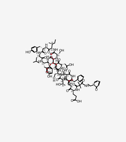 CC[C@H](C)[C@H](NC(=O)[C@H](CO)NC(=O)[C@H](Cc1ccc(O)cc1)NC(=O)[C@H](CC(=O)O)NC(=O)[C@H](CO)NC(=O)[C@@H](NC(=O)[C@H](Cc1ccccc1)NC(=O)[C@@H](NC(=O)CNC(=O)[C@H](CCC(=O)O)NC(=O)C(C)(C)C(=O)NCCn1ccccc1=O)[C@@H](C)O)[C@@H](C)O)C(=O)N[C@@H](Cc1ccc(O)cc1)C(=O)N[C@@H](CC(C)C)C(=O)N[C@@H](CC(=O)O)C(=O)N[C@H](C)CCCCN